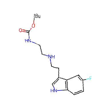 CC(C)(C)OC(=O)NCCNCCc1c[nH]c2ccc(F)cc12